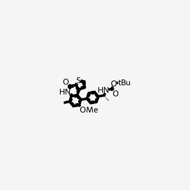 COc1cc(C)c2[nH]c(=O)c3sccc3c2c1-c1ccc([C@@H](C)NC(=O)OC(C)(C)C)cc1